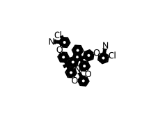 CC(C)(c1ccc(Oc2cccc(Cl)c2C#N)cc1)c1ccc(Oc2cccc(Oc3ccc(C4(c5ccc(Oc6cccc(Cl)c6C#N)cc5)c5ccccc5-c5ccccc54)cc3)c2C#N)cc1